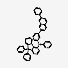 c1ccc(-c2ccc3ccc(-c4cccc(N(c5ccccc5)c5cccc6c5-c5ccccc5C6(c5ccccc5)c5ccccc5)c4)cc3c2)cc1